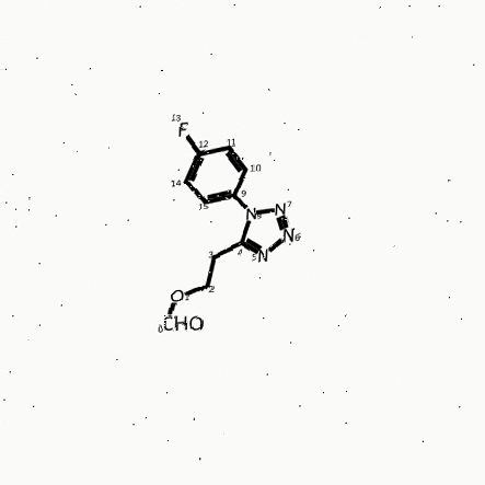 O=COCCc1nnnn1-c1ccc(F)cc1